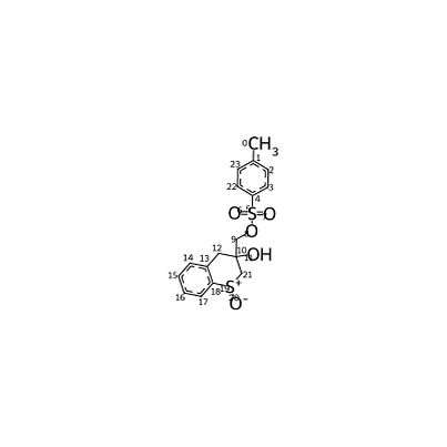 Cc1ccc(S(=O)(=O)OCC2(O)Cc3ccccc3[S+]([O-])C2)cc1